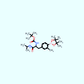 Cc1cc(CC(NC(=O)OC(C)(C)C)C(=O)NC(C)C)ccc1B1OC(C)(C)C(C)(C)O1